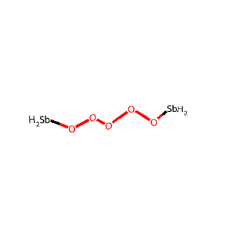 [SbH2][O]OOO[O][SbH2]